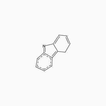 [C]1=CCC2=c3ccccc3=NC2=C1